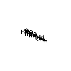 CN(C)c1ccc(/N=N/c2ccc(C(=O)Nc3ccc(NC(=O)c4ccc(NC(=O)c5ccc(NC(=O)OC(C)(C)C)cc5)cc4)cc3)cc2)cc1